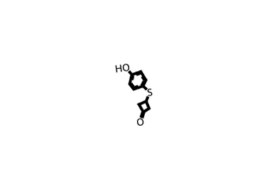 O=C1CC(Sc2ccc(O)cc2)C1